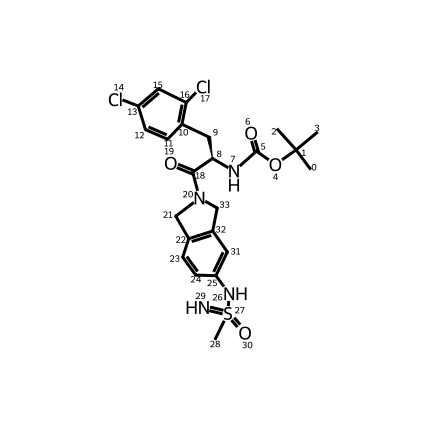 CC(C)(C)OC(=O)N[C@H](Cc1ccc(Cl)cc1Cl)C(=O)N1Cc2ccc(NS(C)(=N)=O)cc2C1